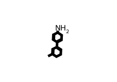 CC1=CC(C2=CCC(N)C=C2)=CCC1